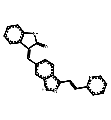 O=C1Nc2ccccc2C1=Cc1ccc2c(C=Cc3ccccn3)n[nH]c2c1